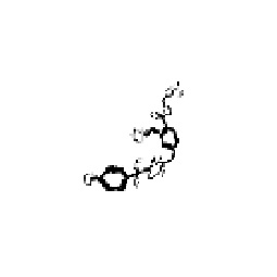 CCOC(=O)c1ccc(Cc2noc(C(F)(F)c3ccc(Cl)cc3)n2)cc1CCl